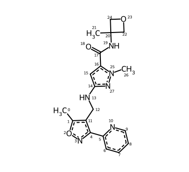 Cc1onc(-c2ccccn2)c1CNc1cc(C(=O)NC2(C)COC2)n(C)n1